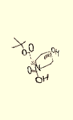 CC(C)(C)OC(=O)C[C@@H]1C[C@H](O)CCN1C(=O)O